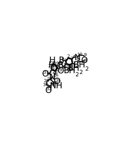 Bc1cc(CN2CCOCC2)c(B)c(B)c1C(B)(B)Oc1cccc2c1CN(C1CCC(=O)NC1=O)C2=O